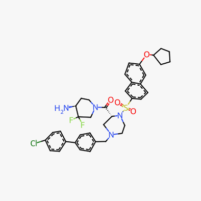 N[C@H]1CCN(C(=O)[C@H]2CN(Cc3ccc(-c4ccc(Cl)cc4)cc3)CCN2S(=O)(=O)c2ccc3cc(OC4CCCC4)ccc3c2)CC1(F)F